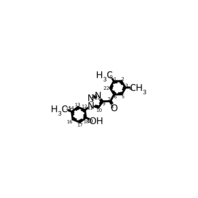 Cc1cc(C)cc(C(=O)c2cn(-c3cc(C)ccc3O)nn2)c1